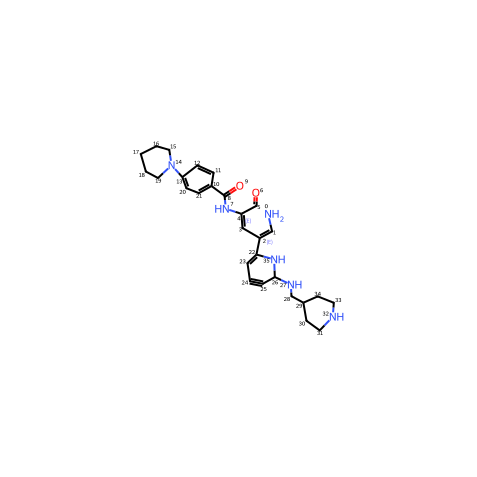 N/C=C(\C=C(/C=O)NC(=O)c1ccc(N2CCCCC2)cc1)C1=CC#CC(NCC2CCNCC2)N1